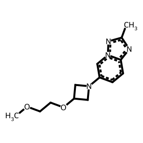 COCCOC1CN(c2ccc3nc(C)nn3c2)C1